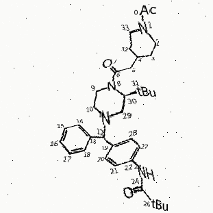 CC(=O)N1CCC(CC(=O)N2CCN(C(c3ccccc3)c3ccc(NC(=O)C(C)(C)C)cc3)C[C@@H]2C(C)(C)C)CC1